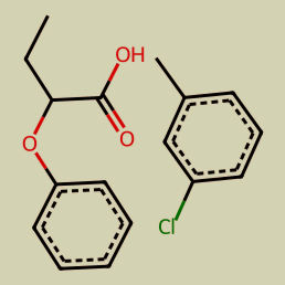 CCC(Oc1ccccc1)C(=O)O.Cc1cccc(Cl)c1